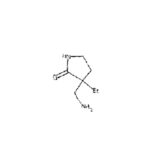 CCC1(CN)CCNC1=O